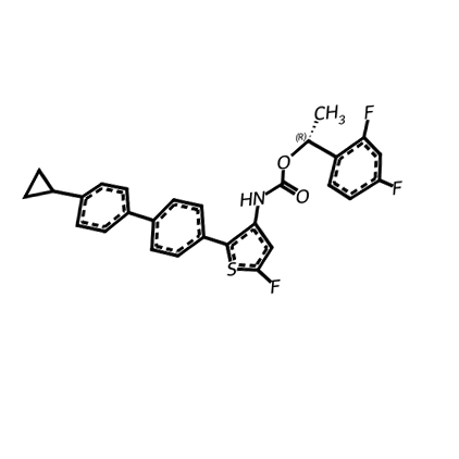 C[C@@H](OC(=O)Nc1cc(F)sc1-c1ccc(-c2ccc(C3CC3)cc2)cc1)c1ccc(F)cc1F